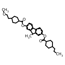 CCCC1CCC(C(=O)Oc2ccc3c(c2)C(C)c2cc(OC(=O)C4CCC(CCOC)CC4)ccc2-3)CC1